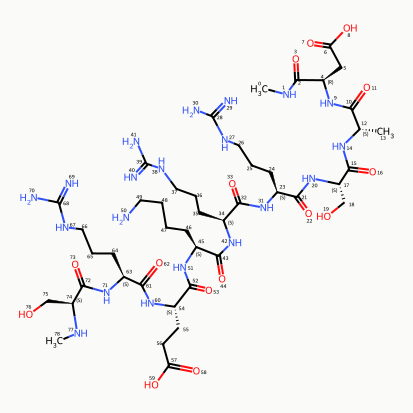 CNC(=O)[C@@H](CC(=O)O)NC(=O)[C@H](C)NC(=O)[C@H](CO)NC(=O)[C@H](CCCNC(=N)N)NC(=O)[C@H](CCCNC(=N)N)NC(=O)[C@H](CCCCN)NC(=O)[C@H](CCC(=O)O)NC(=O)[C@H](CCCNC(=N)N)NC(=O)[C@H](CO)NC